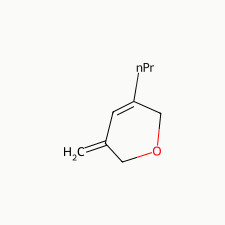 C=C1C=C(CCC)COC1